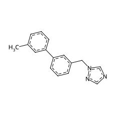 Cc1cccc(-c2cccc(Cn3cncn3)c2)c1